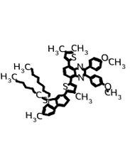 CCCCCCCC[Si]1(CCCCCCCC)c2cc(C)ccc2-c2ccc(-c3sc(-c4ccc(-c5cc(C)c(C)s5)c5nc(-c6ccc(OC)cc6)c(-c6ccc(OC)cc6)nc45)cc3C)cc21